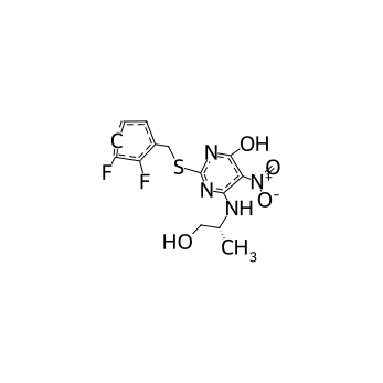 C[C@H](CO)Nc1nc(SCc2cccc(F)c2F)nc(O)c1[N+](=O)[O-]